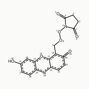 O=C1CCC(=O)N1OOCc1c2oc3cc(O)ccc3nc-2ccc1=O